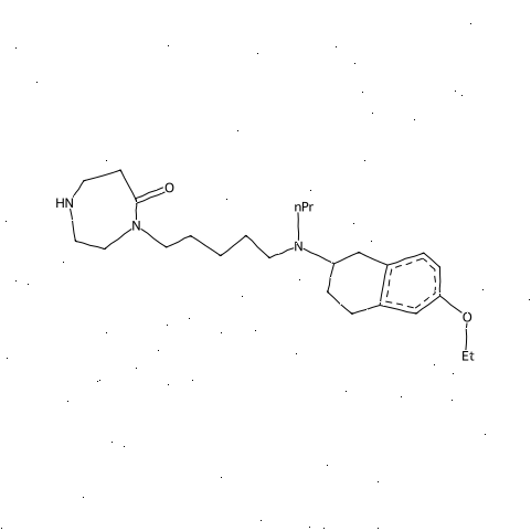 CCCN(CCCCCN1CCNCCC1=O)C1CCc2cc(OCC)ccc2C1